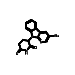 CC(C)(C)c1cnc2c(c1)c1ccccc1n2C1CCC(=O)NC1=O